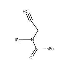 C#CCN(C(=O)CCCC)C(C)C